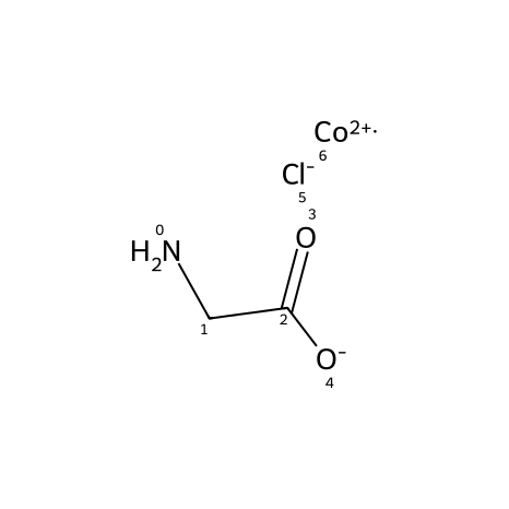 NCC(=O)[O-].[Cl-].[Co+2]